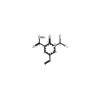 C=Cc1cc(C(=O)OC)c(=O)n(C(F)F)c1